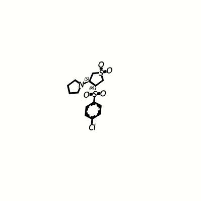 O=S1(=O)C[C@H](N2CCCC2)[C@@H](S(=O)(=O)c2ccc(Cl)cc2)C1